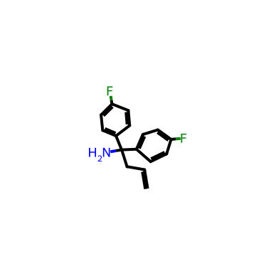 C=CCC(N)(c1ccc(F)cc1)c1ccc(F)cc1